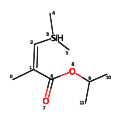 CC(=C[SiH](C)C)C(=O)OC(C)C